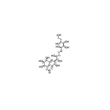 OCCC(O)/C(O)=C(/O)C(O)OCCC(O)/C(O)=C(\OC1OC(CO)C(O)C(O)C1O)C(O)OI